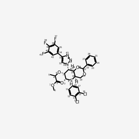 COC(=O)C(C)O[C@H]1C[SH](c2ccc(Cl)c(Cl)c2)[C@@H]2COC(c3ccccc3)O[C@@H]2[C@H]1n1cc(-c2cc(F)c(F)c(F)c2)nn1